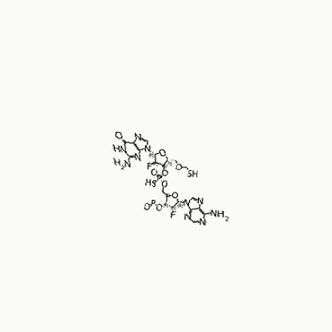 Nc1nc2c(ncn2[C@@H]2O[C@H](COCS)[C@@H](O[P@](=O)(S)OC[C@H]3O[C@@H](n4cnc5c(N)ncnc54)[C@H](F)[C@@H]3OP=O)[C@H]2F)c(=O)[nH]1